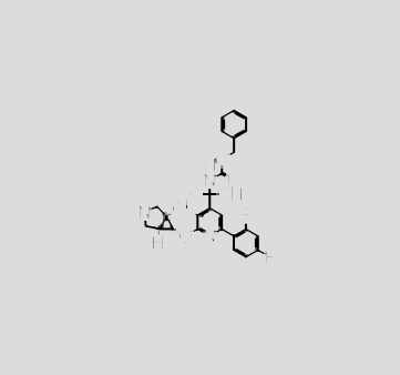 CC(C)(NC(=O)OCc1ccccc1)c1cc(O[C@H]2[C@@H]3CNC[C@@]32C)nc(-c2ccc(F)cc2F)c1